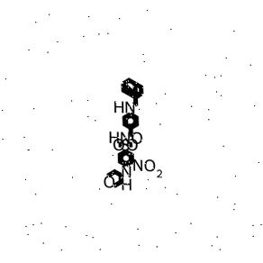 O=C(NS(=O)(=O)c1ccc(NC2CCOCC2)c([N+](=O)[O-])c1)c1ccc(NCC2C3CC4CC(C3)CC2C4)cc1